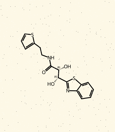 O=C(NCCc1cccs1)[C@H](O)[C@@H](O)c1nc2ccccc2s1